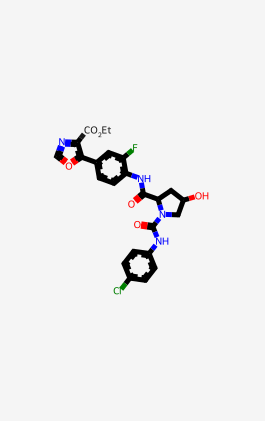 CCOC(=O)c1ncoc1-c1ccc(NC(=O)C2CC(O)CN2C(=O)Nc2ccc(Cl)cc2)c(F)c1